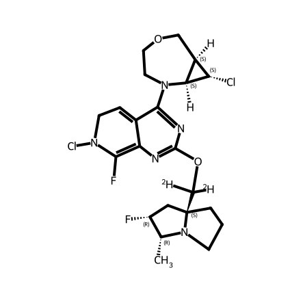 [2H]C([2H])(Oc1nc(N2CCOC[C@H]3[C@H](Cl)[C@H]32)c2c(n1)=C(F)N(Cl)CC=2)[C@@]12CCCN1[C@H](C)[C@H](F)C2